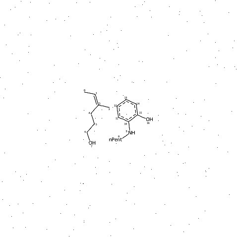 CC=C(C)CCCO.CCCCCNc1ccccc1O